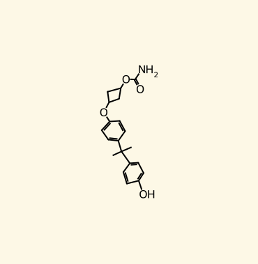 CC(C)(c1ccc(O)cc1)c1ccc(OC2CC(OC(N)=O)C2)cc1